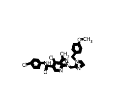 COc1ccc(Cn2ccnc2Cn2nc(C)c3c(Cl)c(C(=O)Nc4ccc(Cl)cc4)cnc32)cc1